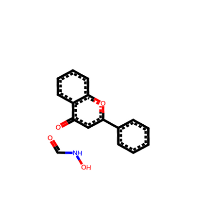 O=CNO.O=c1cc(-c2ccccc2)oc2ccccc12